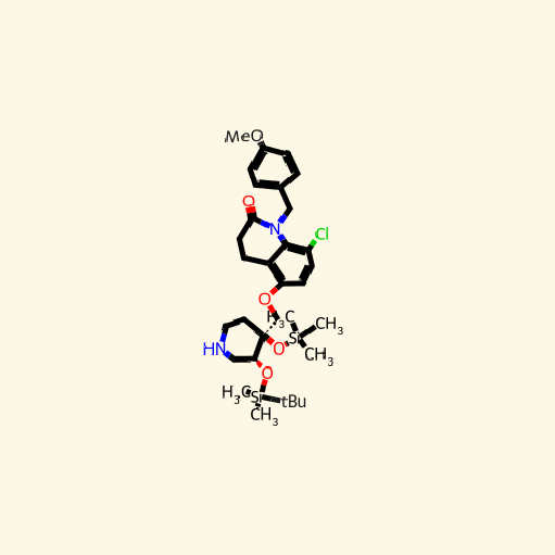 COc1ccc(CN2C(=O)CCc3c(OC[C@@]4(O[Si](C)(C)C)CCNC[C@@H]4O[Si](C)(C)C(C)(C)C)ccc(Cl)c32)cc1